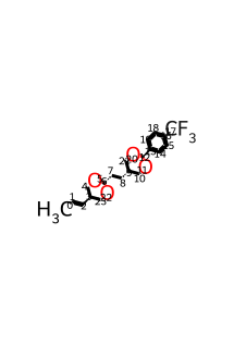 CC=C[C@H]1CO[C@H](CC[C@H]2CO[C@H](c3ccc(C(F)(F)F)cc3)OC2)OC1